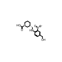 O=C(O)N1CCC[C@H](CNc2ccc(CO)cc2[N+](=O)[O-])C1